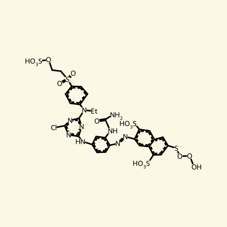 CCN(c1ccc(S(=O)(=O)CCOS(=O)(=O)O)cc1)c1nc(Cl)nc(Nc2ccc(/N=N/c3cc4c(S(=O)(=O)O)cc(SOOO)cc4cc3S(=O)(=O)O)c(NC(N)=O)c2)n1